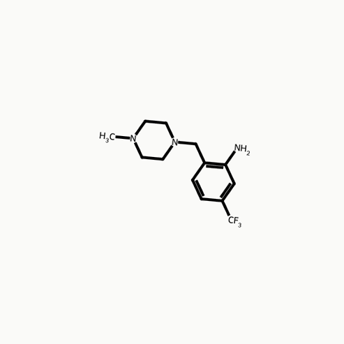 CN1CCN(Cc2ccc(C(F)(F)F)cc2N)CC1